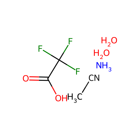 CC#N.N.O.O.O=C(O)C(F)(F)F